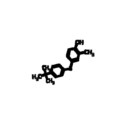 Cc1cc(Sc2ccc(C(C)(C)C)cc2)ccc1O